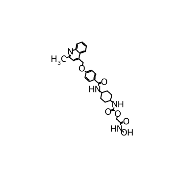 Cc1cc(COc2ccc(C(=O)NC3CCC(NC(=O)OCC(=O)NO)CC3)cc2)c2ccccc2n1